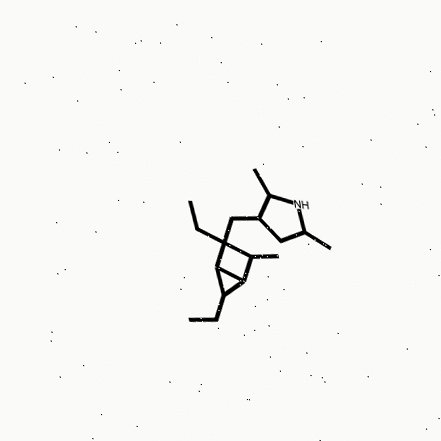 CCC1C2C(C)C(CC)(CC3CC(C)NC3C)C12